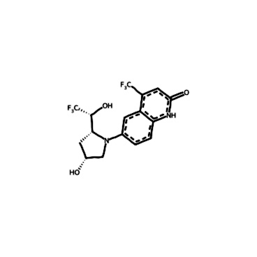 O=c1cc(C(F)(F)F)c2cc(N3C[C@H](O)C[C@@H]3[C@@H](O)C(F)(F)F)ccc2[nH]1